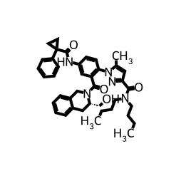 CCCCN(CCCC)C(=O)c1cc(C)n(-c2ccc(NC(=O)C3(c4ccccc4)CC3)cc2C(=O)N2Cc3ccccc3C[C@H]2CO)n1